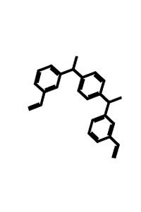 C=Cc1cccc(C(C)c2ccc(C(C)c3cccc(C=C)c3)cc2)c1